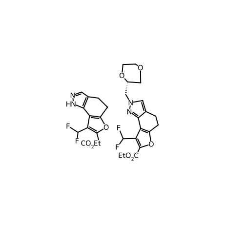 CCOC(=O)c1oc2c(c1C(F)F)-c1[nH]ncc1CC2.CCOC(=O)c1oc2c(c1C(F)F)-c1nn(C[C@H]3COCCO3)cc1CC2